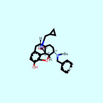 CCCCN(Cc1ccccc1)[C@H]1CC[C@@]2(O)[C@H]3Cc4ccc(O)c5c4[C@@]2(CCN3CC2CC2)[C@H]1O5